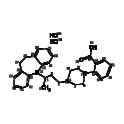 CC(CCN1CCN(c2ncccc2C(=O)O)CC1)N1c2ccccc2CCc2ccccc21.Cl.Cl